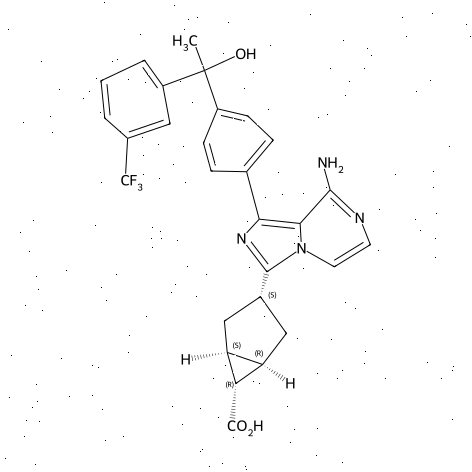 CC(O)(c1ccc(-c2nc([C@@H]3C[C@@H]4[C@H](C3)[C@H]4C(=O)O)n3ccnc(N)c23)cc1)c1cccc(C(F)(F)F)c1